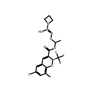 Cc1cc(Cl)cc2c1O[C@H](C(F)(F)F)C(C(=O)OC(C)O/N=[N+](\O)N1CCC1)=C2